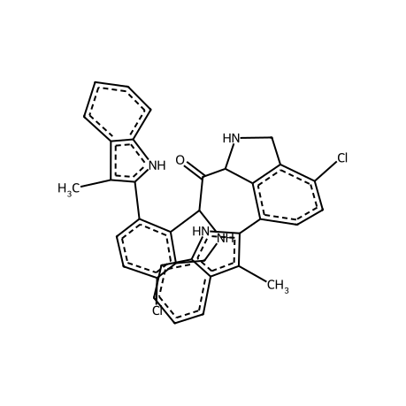 Cc1c(-c2ccc(Cl)c3c2C(C(=O)C2NCc4c(Cl)ccc(-c5[nH]c6ccccc6c5C)c42)NC3)[nH]c2ccccc12